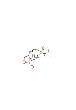 CC(C)(C)C=C=CC1COC(=O)N1